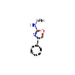 CCCCNc1nc(-c2ccccc2)co1